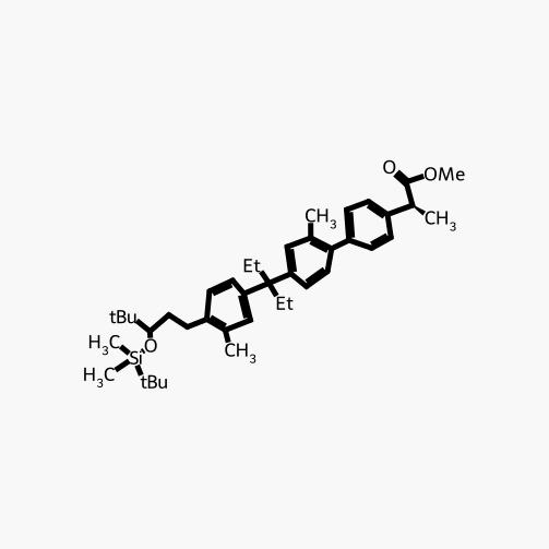 CCC(CC)(c1ccc(CCC(O[Si](C)(C)C(C)(C)C)C(C)(C)C)c(C)c1)c1ccc(-c2ccc([C@H](C)C(=O)OC)cc2)c(C)c1